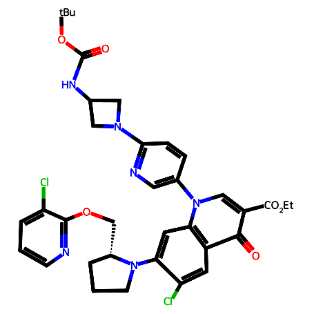 CCOC(=O)c1cn(-c2ccc(N3CC(NC(=O)OC(C)(C)C)C3)nc2)c2cc(N3CCC[C@@H]3COc3ncccc3Cl)c(Cl)cc2c1=O